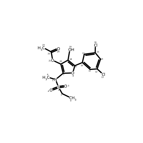 CCS(=O)(=O)N(C)c1oc(-c2cc(Cl)cc(Cl)c2)c(O)c1OC(C)=O